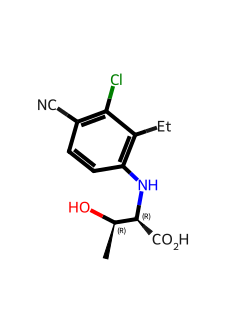 CCc1c(N[C@@H](C(=O)O)[C@@H](C)O)ccc(C#N)c1Cl